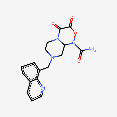 NC(=O)N1OC(=O)C(=O)N2CCN(Cc3cccc4cccnc34)CC21